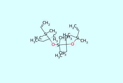 C=C[Si](C)(C)OC(C)(CC)[Si](C)(C)O[C@@](C)(CC)[Si](C)(C)C=C